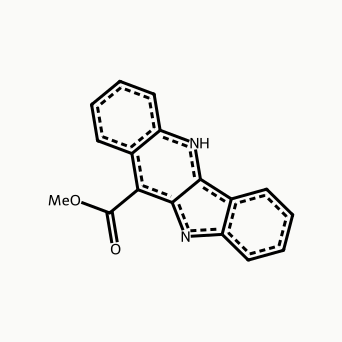 COC(=O)c1c2nc3ccccc3c-2[nH]c2ccccc12